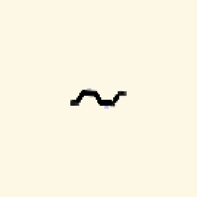 CC(C)(C)/C=C\C=N/C(C)(C)C